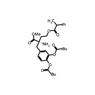 CCC(C)C(=O)Oc1ccc(C[C@](N)(CCOC(=O)C(C)C(C)C)C(=O)OC)cc1OC(=O)C(C)CC